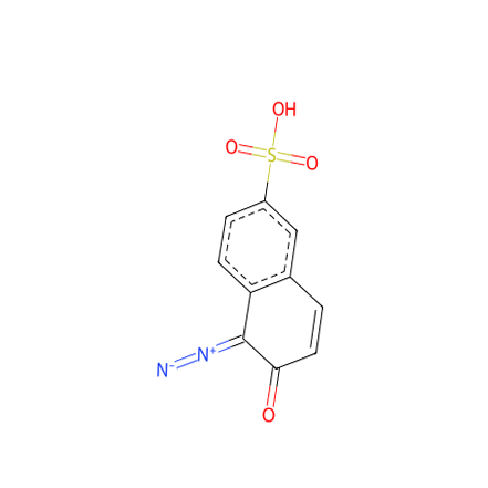 [N-]=[N+]=C1C(=O)C=Cc2cc(S(=O)(=O)O)ccc21